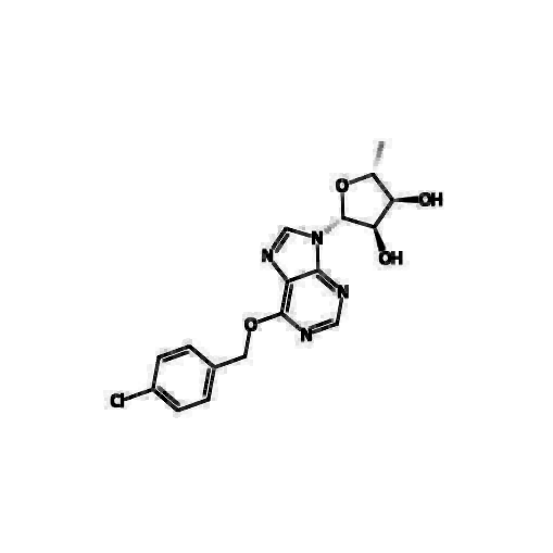 C[C@H]1O[C@@H](n2cnc3c(OCc4ccc(Cl)cc4)ncnc32)[C@H](O)[C@@H]1O